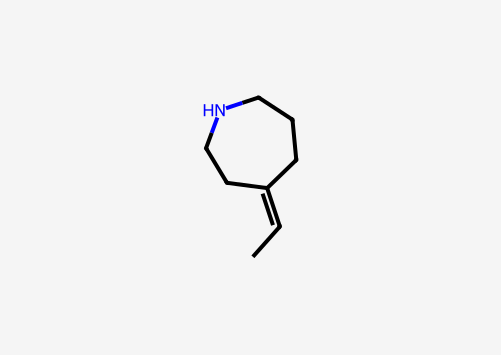 C/C=C1/CCCNCC1